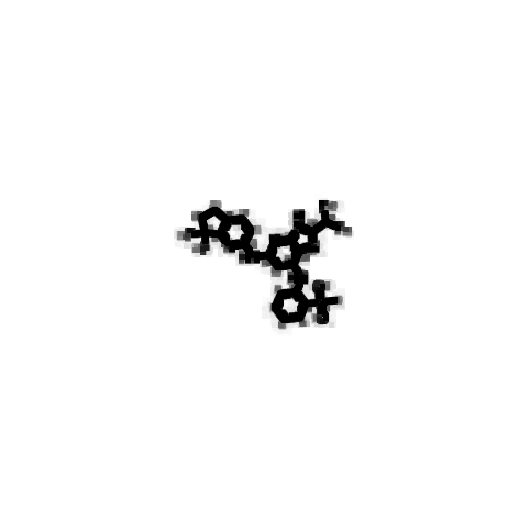 CS(=O)(=O)c1ccccc1Nc1cc(Nc2ccc3c(n2)C(F)(F)CC3)nc2[nH]c(C(F)F)nc12